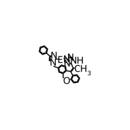 CCc1nc(-c2ccccc2)cn1Cc1ccc2c(c1)COc1ccccc1/C2=C(\C)c1nnn[nH]1